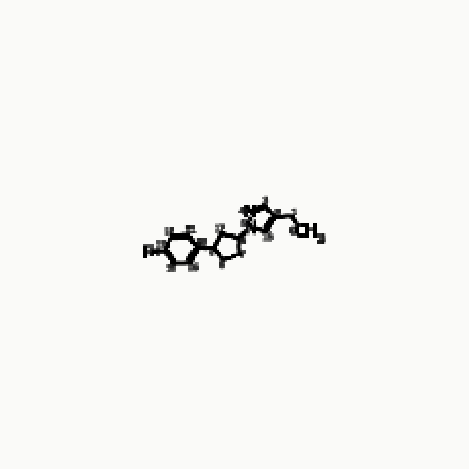 CCc1cnn(C2CCC(c3ccc(F)cc3)C2)c1